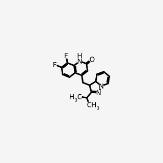 CC(C)C1=NN2C=CC=CC2C1Cc1cc(=O)[nH]c2c(F)c(F)ccc12